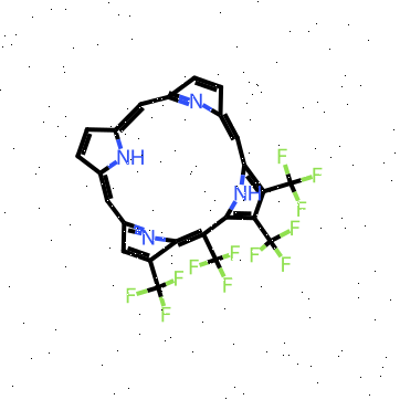 FC(F)(F)C1=Cc2cc3ccc(cc4nc(cc5[nH]c(c(C(F)(F)F)c1n2)c(C(F)(F)F)c5C(F)(F)F)C=C4)[nH]3